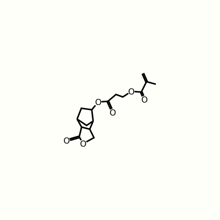 C=C(C)C(=O)OCCC(=O)OC1CC2CC1C1COC(=O)C21